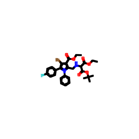 CCOC(=O)c1c(Br)c(-c2ccc(F)cc2)n(-c2ccccc2)c1CNC(C(=O)OCC)C(=O)OC(C)(C)C